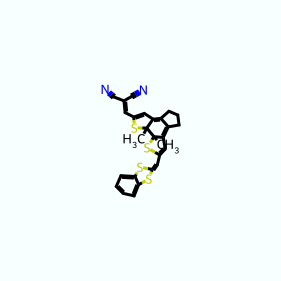 CC12SC(C=C(C#N)C#N)=CC1=C1CCCC1=C1C=C(C=C3Sc4ccccc4S3)SC12C